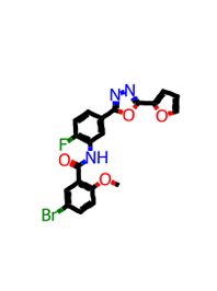 COc1ccc(Br)cc1C(=O)Nc1cc(-c2nnc(-c3ccco3)o2)ccc1F